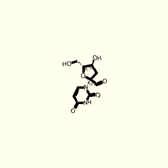 O=C[C@]1(n2ccc(=O)[nH]c2=O)C[C@H](O)[C@@H](CO)O1